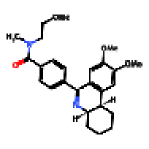 COCCN(C)C(=O)c1ccc(C2=N[C@@H]3CCCC[C@@H]3c3cc(OC)c(OC)cc32)cc1